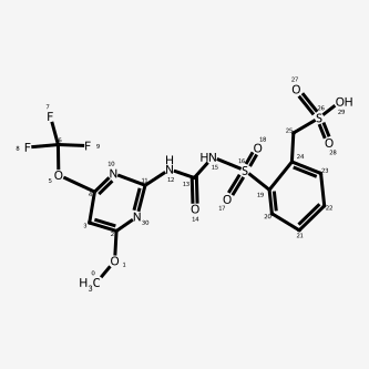 COc1cc(OC(F)(F)F)nc(NC(=O)NS(=O)(=O)c2ccccc2CS(=O)(=O)O)n1